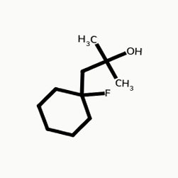 CC(C)(O)CC1(F)CCCCC1